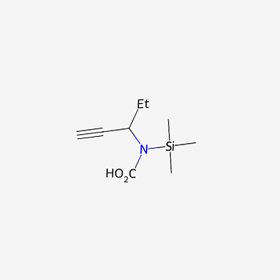 C#CC(CC)N(C(=O)O)[Si](C)(C)C